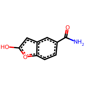 NC(=O)c1ccc2oc(O)cc2c1